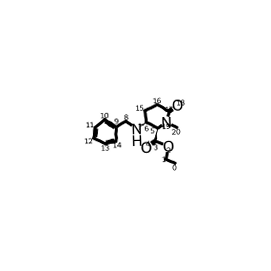 CCOC(=O)[C@H]1[C@H](NCc2ccccc2)CCC(=O)N1C